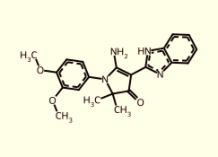 COc1ccc(N2C(N)=C(c3nc4ccccc4[nH]3)C(=O)C2(C)C)cc1OC